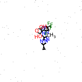 Cc1nn2cc(C3CC3)cnc2c1C(O)NC1(c2ncc(C(F)(F)F)cc2F)CCOCC1(C)O